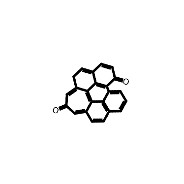 O=C1C=CC2=CCc3cc(=O)cc4ccc5cccc6c1c2c3c4c56